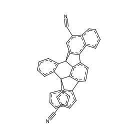 CC12c3ccccc3C3(c4ccccc4)c4cc(C#N)ccc4-c4ccc(c1c43)-c1c2cc(C#N)c2ccccc12